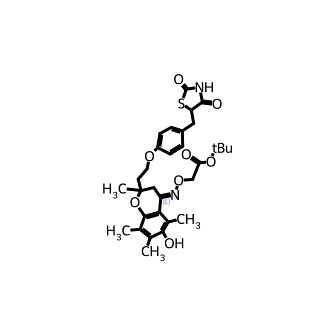 Cc1c(C)c2c(c(C)c1O)/C(=N/OCC(=O)OC(C)(C)C)CC(C)(CCOc1ccc(CC3SC(=O)NC3=O)cc1)O2